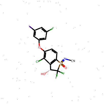 N#CN=S1(=O)c2ccc(Oc3cc(F)cc(I)c3)c(Cl)c2[C@@H](O)C1(F)F